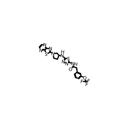 O=C(Cc1cccc(OC(F)(F)F)c1)Nc1nnc(NC2CCN(c3nc4nccnc4s3)C2)s1